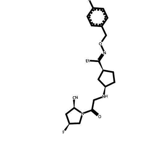 CC/C(=N\OCc1ccc(Cl)cc1)[C@H]1CC[C@@H](NCC(=O)N2C[C@@H](F)C[C@H]2C#N)C1